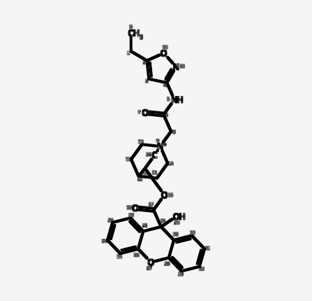 CCc1cc(NC(=O)C[N+]23CCC(CC2)C(OC(=O)C2(O)c4ccccc4Oc4ccccc42)C3)no1